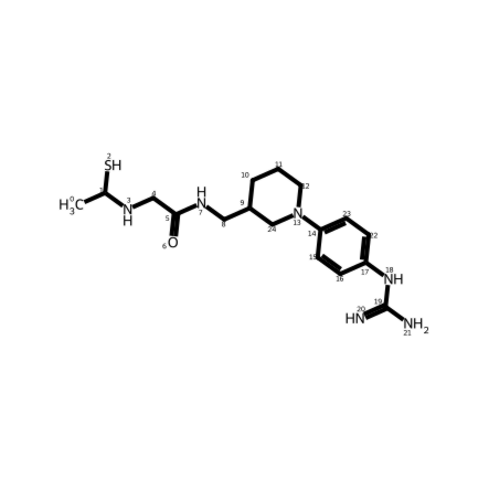 CC(S)NCC(=O)NCC1CCCN(c2ccc(NC(=N)N)cc2)C1